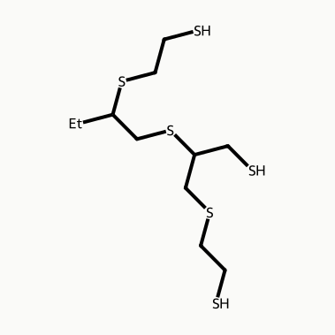 CCC(CSC(CS)CSCCS)SCCS